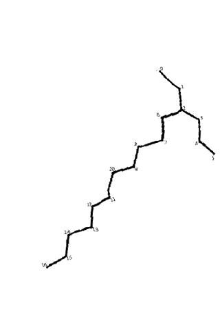 [CH2]CC(CCC)CCCCCCCCCCC